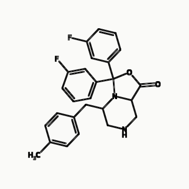 Cc1ccc(CC2CNCC3C(=O)OC(c4cccc(F)c4)(c4cccc(F)c4)N23)cc1